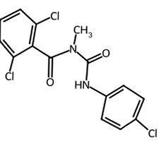 CN(C(=O)Nc1ccc(Cl)cc1)C(=O)c1c(Cl)cccc1Cl